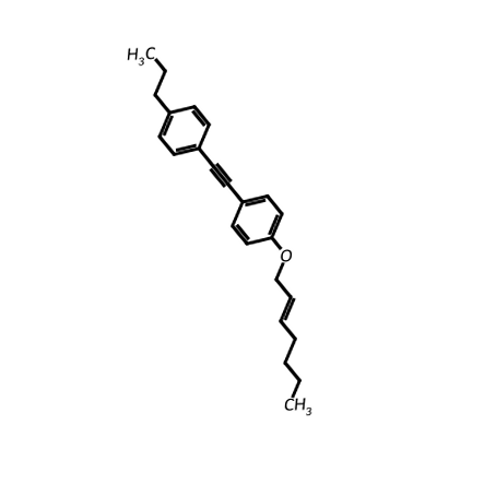 CCCCC=CCOc1ccc(C#Cc2ccc(CCC)cc2)cc1